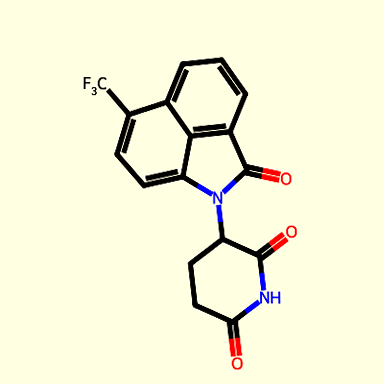 O=C1CCC(N2C(=O)c3cccc4c(C(F)(F)F)ccc2c34)C(=O)N1